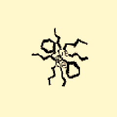 CCC[CH2][Ge]([CH2]CCC)([CH2]CCC)[Ge]([c]1ccccc1)([c]1ccccc1)[Ge]([CH2]CCC)([CH2]CCC)[CH2]CCC